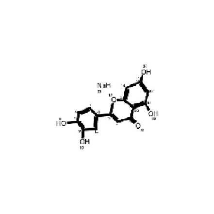 O=c1cc(-c2ccc(O)c(O)c2)oc2cc(O)cc(O)c12.[NaH]